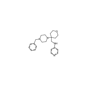 c1ccc(CN2CCN(C3(CNc4ccncc4)CCOCC3)CC2)cc1